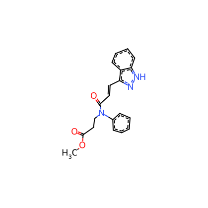 COC(=O)CCN(C(=O)/C=C/c1n[nH]c2ccccc12)c1ccccc1